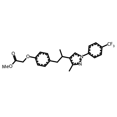 COC(=O)COc1ccc(CC(C)c2cn(-c3ccc(C(F)(F)F)cc3)nc2C)cc1